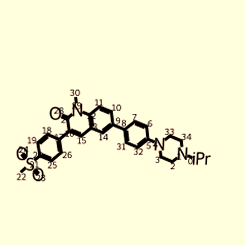 CC(C)N1CCN(c2ccc(-c3ccc4c(c3)cc(-c3ccc(S(C)(=O)=O)cc3)c(=O)n4C)cc2)CC1